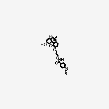 CN1CC[C@]23c4c5ccc(OCCCONC(=O)c6ccc(N=C=S)cc6)c4OC2C(O)C=C[C@H]3[C@H]1C5